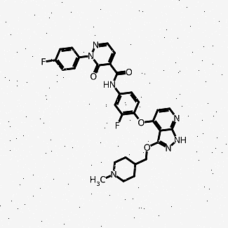 CN1CCC(COc2n[nH]c3nccc(Oc4ccc(NC(=O)c5ccnn(-c6ccc(F)cc6)c5=O)cc4F)c23)CC1